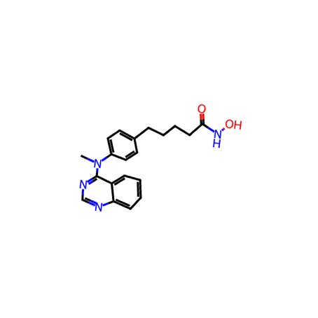 CN(c1ccc(CCCCC(=O)NO)cc1)c1ncnc2ccccc12